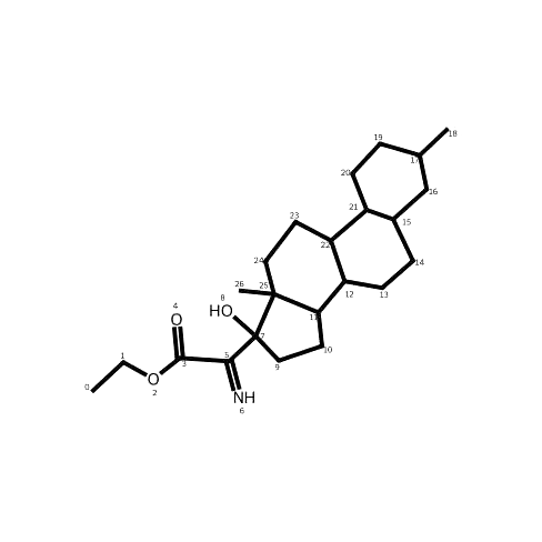 CCOC(=O)C(=N)C1(O)CCC2C3CCC4CC(C)CCC4C3CCC21C